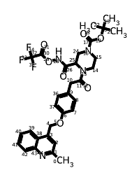 Cc1cc(COc2ccc(CC(=O)N3CCN(C(=O)OC(C)(C)C)CC3C(=O)NOC(=O)C(F)(F)F)cc2)c2ccccc2n1